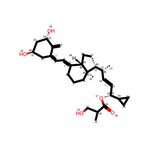 C=C1/C(=C\C=C2/CCC[C@]3(C)[C@@H]([C@H](C)/C=C/[C@@H](OC(=O)C(C)CO)C4CC4)CC[C@@H]23)C[C@@H](O)C[C@@H]1O